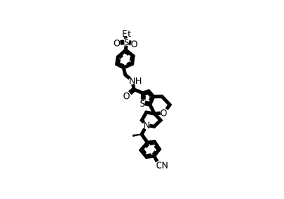 CCS(=O)(=O)c1ccc(CNC(=O)c2cc3c(s2)C2(CCN([C@H](C)c4ccc(C#N)cc4)CC2)OCC3)cc1